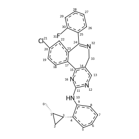 C[C@H]1C[C@H]1c1ccccc1Nc1ncc2c(n1)-c1ccc(Cl)cc1C(c1ccccc1F)=NC2